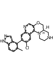 Cc1ccc2[nH]ncc2c1-c1cc2ncc3c(c2cc1Cl)N1CCNC[C@@H]1CO3